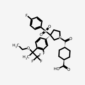 CCOC(C)(c1ccc([C@]2(S(=O)(=O)c3ccc(F)cc3)CCN(C(=O)[C@H]3CC[C@H](C(=O)O)CC3)C2)cc1F)C(F)(F)F